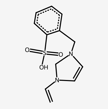 C=CN1C=CN(Cc2ccccc2S(=O)(=O)O)C1